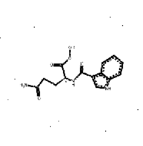 NC(=O)CC[C@H](NC(=O)c1c[nH]c2ccccc12)C(=O)OO